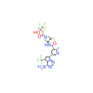 Cc1ncc(-c2cc(C(F)(F)F)c3c(N)ncnn23)cc1C(=O)N[C@@H]1CN(C(=O)CC(C)(O)C(F)(F)F)C[C@@H]1F